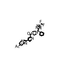 CC(=O)N1CCn2cc(-c3ccnc(C(=O)N4CCN([C@H](c5ccccc5)c5nnn(C(F)F)n5)CC4)c3)nc2C1